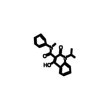 CC(C)n1c(=O)c(C(=O)N(C)c2ccccc2)c(O)c2ccccc21